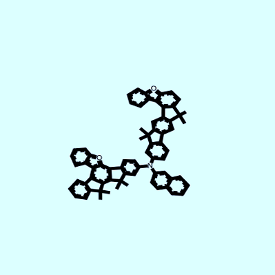 CC1(C)c2cc(N(c3ccc4c(c3)C(C)(C)c3c5c(c6c(oc7ccccc76)c3-4)-c3ccccc3C5(C)C)c3ccc4ccccc4c3)ccc2-c2cc3c(cc21)-c1c(ccc2oc4ccccc4c12)C3(C)C